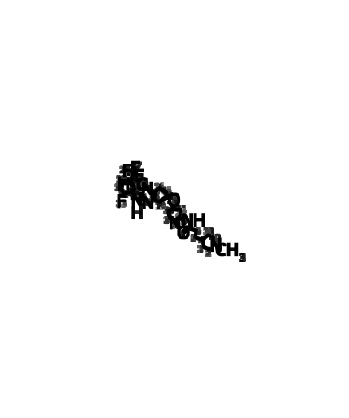 CN1CCC(CCC(=O)Nc2cc(Oc3ccc4c(c3)nc(Nc3cc(C(F)(F)F)ccc3F)n4C)ccn2)CC1